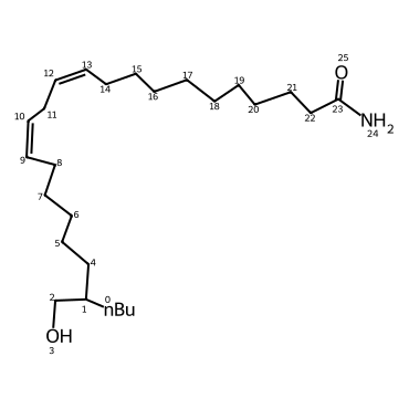 CCCCC(CO)CCCCC/C=C\C/C=C\CCCCCCCCCC(N)=O